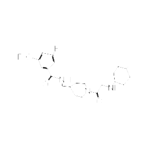 CC1CCC(NCC(=O)N2CCC(CNC(=O)c3cc(F)cc(C(F)(F)F)c3)CC2)CC1